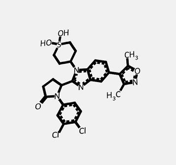 Cc1noc(C)c1-c1ccc2c(c1)nc(C1CCC(=O)N1c1ccc(Cl)c(Cl)c1)n2C1CCS(O)(O)CC1